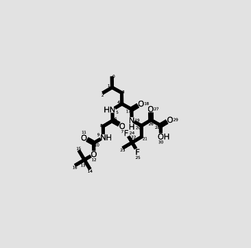 CC(C)CC(NC(=O)CNC(=O)OC(C)(C)C)C(=O)NC(CC(C)(F)F)C(=O)C(=O)O